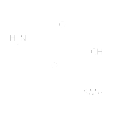 CSC(C)OC(N)=O